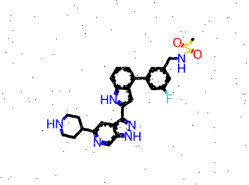 CS(=O)(=O)NCc1cc(F)cc(-c2cccc3[nH]c(-c4n[nH]c5cnc(C6CCNCC6)cc45)cc23)c1